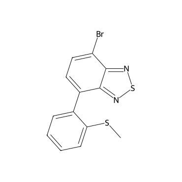 CSc1ccccc1-c1ccc(Br)c2nsnc12